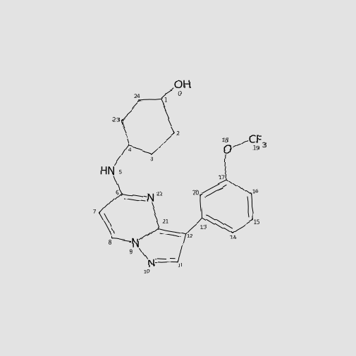 OC1CCC(Nc2ccn3ncc(-c4cccc(OC(F)(F)F)c4)c3n2)CC1